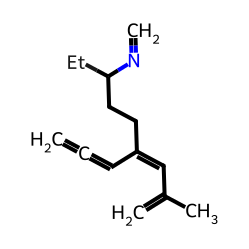 C=C=C/C(=C\C(=C)C)CCC(CC)N=C